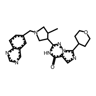 CC1CN(Cc2ccc3ncncc3c2)CC1c1nn2c(C3CCOCC3)ncc2c(=O)[nH]1